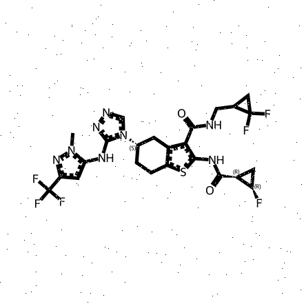 Cn1nc(C(F)(F)F)cc1Nc1nncn1[C@H]1CCc2sc(NC(=O)[C@H]3C[C@H]3F)c(C(=O)NCC3CC3(F)F)c2C1